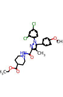 CCOC(=O)C1CCN(NC(=O)c2nn(-c3ccc(Cl)cc3Cl)c(-c3ccc(OC)cc3)c2C)CC1